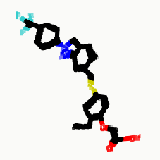 CCc1cc(SCc2ccc3cn(-c4ccc(C(F)(F)F)cc4)nc3c2)ccc1OCC(=O)O